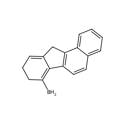 BC1=C2C(=CCC1)Cc1c2ccc2ccccc12